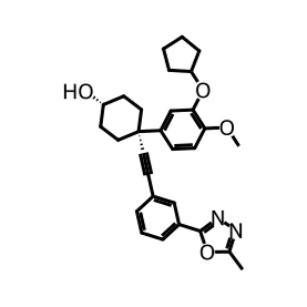 COc1ccc([C@]2(C#Cc3cccc(-c4nnc(C)o4)c3)CC[C@@H](O)CC2)cc1OC1CCCC1